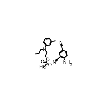 CCCN(CCOS(=O)(=O)O)c1cccc(C)c1.N#Cc1ccc(N)c(C#N)c1